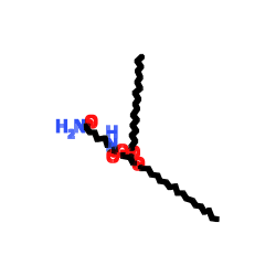 CCCCCCCCCCCCCCCCCCOCC(COC(=O)NCCCCCC(N)=O)OCCCCCCCCCCCCCCCCCC